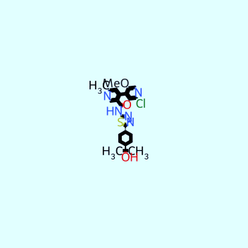 COc1cnc(Cl)cc1-c1cc(C)ncc1C(=O)Nc1nnc([C@H]2CC[C@H](C(C)(C)O)CC2)s1